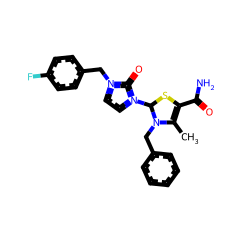 CC1=C(C(N)=O)SC(n2ccn(Cc3ccc(F)cc3)c2=O)N1Cc1ccccc1